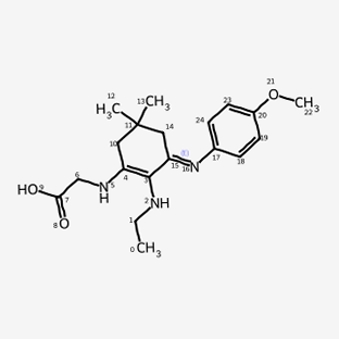 CCNC1=C(NCC(=O)O)CC(C)(C)C/C1=N\c1ccc(OC)cc1